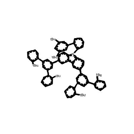 CC(C)(C)c1cc(-c2ccccc2-n2c3ccc(-c4cc(-c5ccccc5C(C)(C)C)cc(-c5ccccc5C(C)(C)C)c4)cc3c3cc(-c4cc(-c5ccccc5C(C)(C)C)cc(-c5ccccc5C(C)(C)C)c4)ccc32)cc(C(C)(C)C)c1